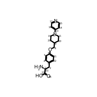 N[C@@H](Cc1ccc(OCC2CCN(c3ccncc3)CC2)cc1)C(=O)O